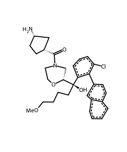 COCCCC[C@@](O)(c1cccc(Cl)c1-c1ccc2ccccc2c1)[C@H]1CN(C(=O)[C@@H]2CC[C@H](N)C2)CCO1